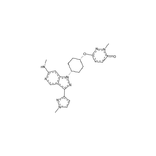 CNc1cc2c(cn1)c(-c1ccn(C)n1)nn2[C@H]1CC[C@@H](Oc2ccc(=O)n(C)n2)CC1